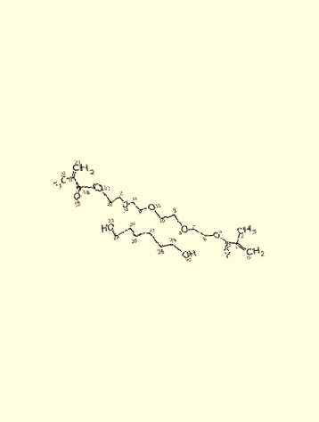 C=C(C)C(=O)OCCOCCOCCOCCOC(=O)C(=C)C.OCCCCCCO